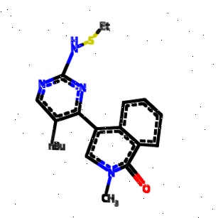 CCCCc1cnc(NSCC)nc1-c1cn(C)c(=O)c2ccccc12